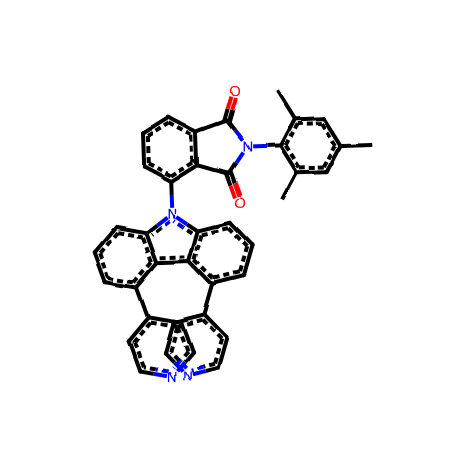 Cc1cc(C)c(N2C(=O)c3cccc(-n4c5cccc(-c6ccncc6)c5c5c(-c6ccncc6)cccc54)c3C2=O)c(C)c1